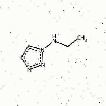 CCNn1c[c]nn1